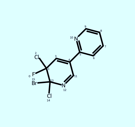 FC1(Cl)C=C(c2[c]cccn2)C=NC1(Cl)Br